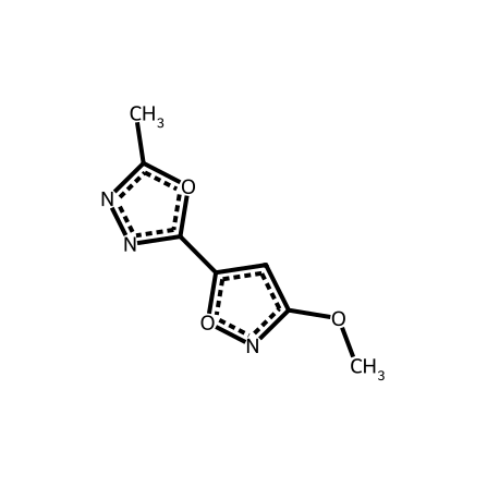 COc1cc(-c2nnc(C)o2)on1